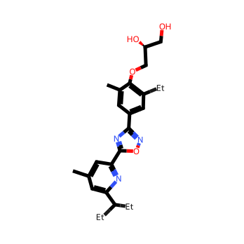 CCc1cc(-c2noc(-c3cc(C)cc(C(CC)CC)n3)n2)cc(C)c1OC[C@@H](O)CO